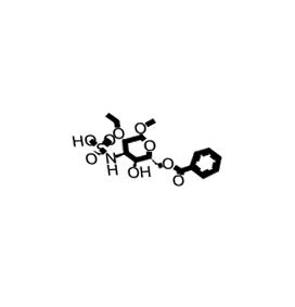 CCO[C@@H]1[C@@H](OC)O[C@H](COC(=O)c2ccccc2)[C@@H](O)[C@H]1NS(=O)(=O)O